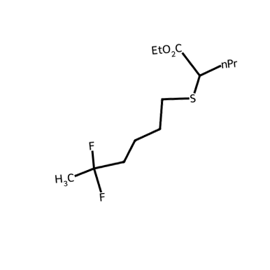 CCCC(SCCCCC(C)(F)F)C(=O)OCC